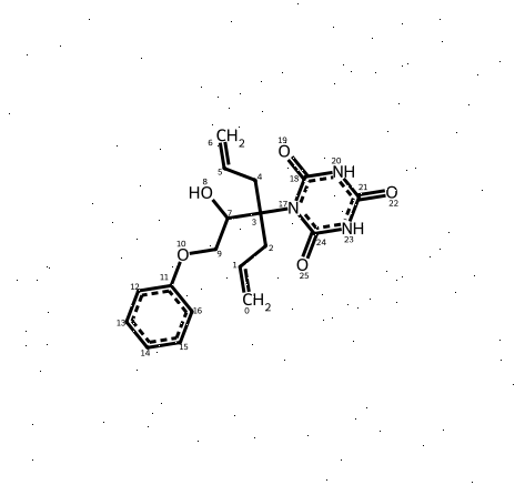 C=CCC(CC=C)(C(O)COc1ccccc1)n1c(=O)[nH]c(=O)[nH]c1=O